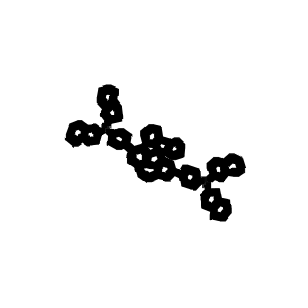 c1ccc2c(c1)-c1ccccc1C21c2cc(-c3ccc(N(c4ccc5ccccc5c4)c4ccc5ccccc5c4)cc3)cc3ccc4cc(-c5ccc(N(c6ccc7ccccc7c6)c6ccc7ccccc7c6)cc5)cc1c4c23